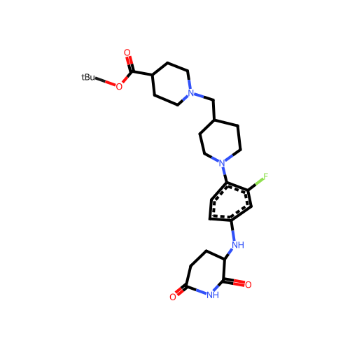 CC(C)(C)OC(=O)C1CCN(CC2CCN(c3ccc(NC4CCC(=O)NC4=O)cc3F)CC2)CC1